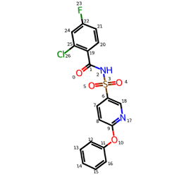 O=C(NS(=O)(=O)c1ccc(Oc2ccccc2)nc1)c1ccc(F)cc1Cl